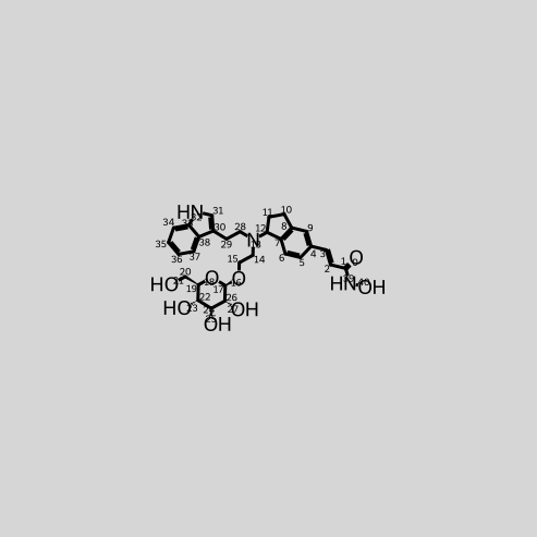 O=C(/C=C/c1ccc2c(c1)CCC2N(CCO[C@@H]1O[C@H](CO)[C@@H](O)[C@H](O)[C@H]1O)CCc1c[nH]c2ccccc12)NO